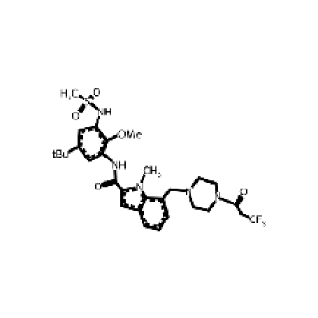 COc1c(NC(=O)c2cc3cccc(CN4CCN(C(=O)CC(F)(F)F)CC4)c3n2C)cc(C(C)(C)C)cc1NS(C)(=O)=O